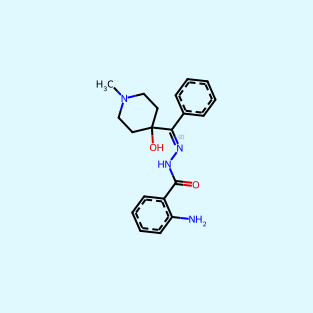 CN1CCC(O)(/C(=N\NC(=O)c2ccccc2N)c2ccccc2)CC1